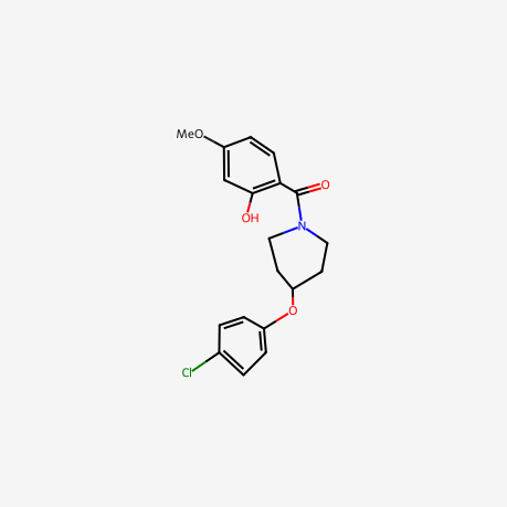 COc1ccc(C(=O)N2CCC(Oc3ccc(Cl)cc3)CC2)c(O)c1